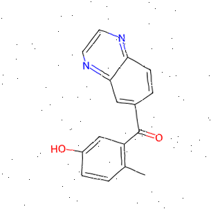 Cc1ccc(O)cc1C(=O)c1ccc2nccnc2c1